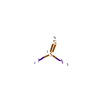 S=S(I)I